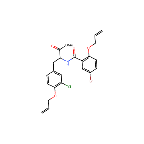 C=CCOc1ccc(CC(NC(=O)c2cc(Br)ccc2OCC=C)C(=O)OC)cc1Cl